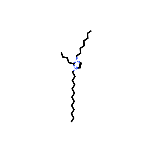 CCCCCCCCCCCCCN1C=CN(CCCCCCCC)C1CCCC